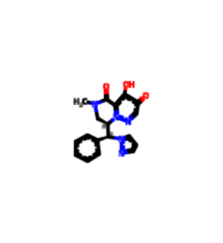 CN1C[C@H]([C@H](c2ccccc2)n2cccn2)n2ncc(=O)c(O)c2C1=O